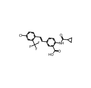 O=C(O)c1cc(C=Cc2ccc(Cl)cc2C(F)(F)F)ccc1NC(=O)C1CC1